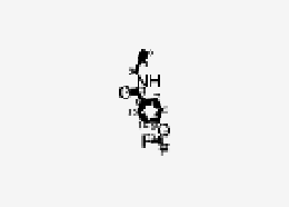 C#CCNC(=O)c1ccc(OC(F)F)cc1